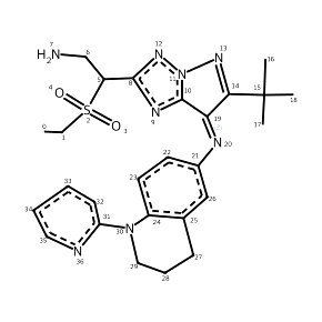 CCS(=O)(=O)C(CN)c1nc2n(n1)N=C(C(C)(C)C)/C2=N/c1ccc2c(c1)CCCN2c1ccccn1